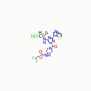 CC(Nc1cc(C(=O)N2CCC(NC(=O)OCC(F)F)CC2)nc(-c2cnn3ccsc23)n1)C1CC1.Cl